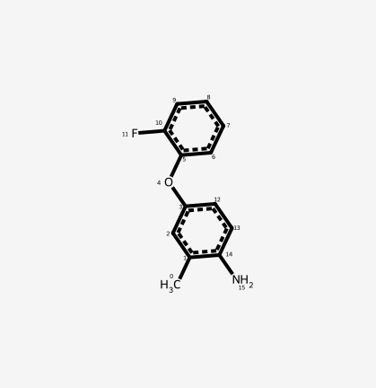 Cc1cc(Oc2ccccc2F)ccc1N